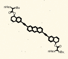 CCCCCCC(CCCC)C(=O)OC1CC=Cc2cc(C#Cc3ccc4cc5cc(C#Cc6ccc7c(c6)C=CCC7OC(=O)C(CCCC)CCCCCC)ccc5cc4c3)ccc21